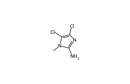 Cn1c(N)nc(Cl)c1Cl